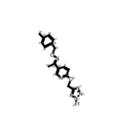 CCn1nnc(COc2ccc(/C(C)=N/OCc3ccc(C)cc3)cn2)n1